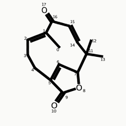 C/C1=C\CCC2=CC(OC2=O)C(C)(C)/C=C/C1=O